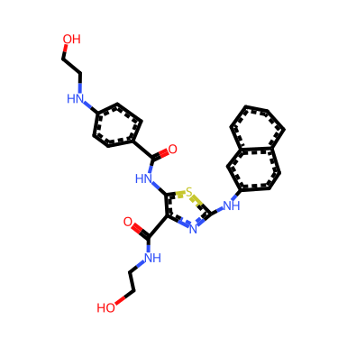 O=C(Nc1sc(Nc2ccc3ccccc3c2)nc1C(=O)NCCO)c1ccc(NCCO)cc1